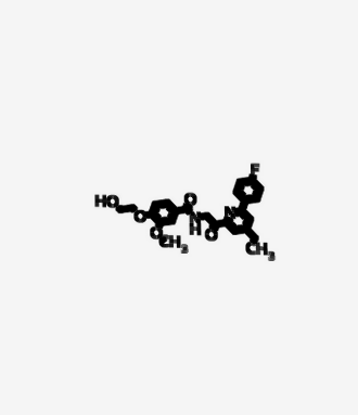 CCc1cc(C(=O)CNC(=O)c2ccc(OCCO)c(OC)c2)nc(-c2ccc(F)cc2)c1